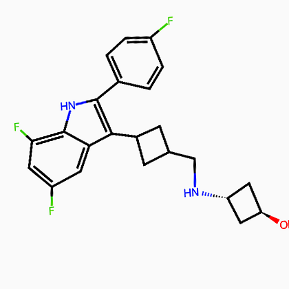 O[C@H]1C[C@H](NCC2CC(c3c(-c4ccc(F)cc4)[nH]c4c(F)cc(F)cc34)C2)C1